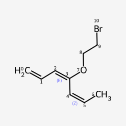 C=C/C=C(\C=C/C)OCCBr